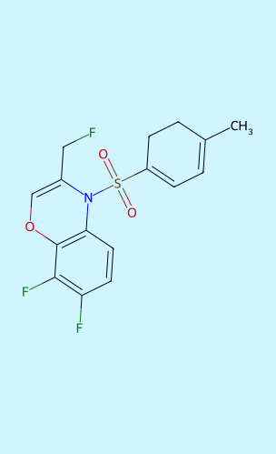 CC1=CC=C(S(=O)(=O)N2C(CF)=COc3c2ccc(F)c3F)CC1